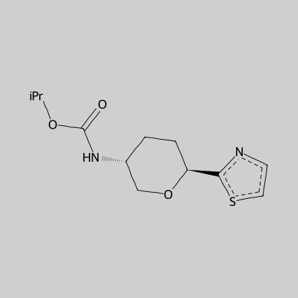 CC(C)OC(=O)N[C@@H]1CC[C@@H](c2nccs2)OC1